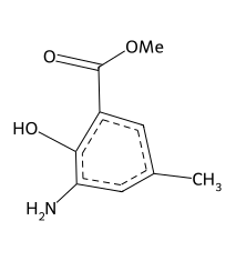 COC(=O)c1cc(C)cc(N)c1O